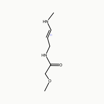 CN/C=C/CNC(=O)COC